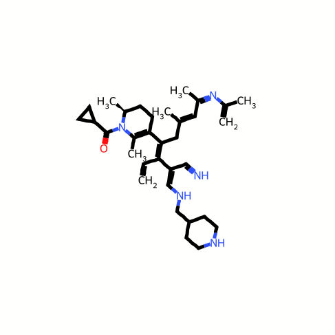 C=CC(/C(C=N)=C/NCC1CCNCC1)=C(/C/C(C)=C/C(C)=N\C(=C)C)C1=C(C)N(C(=O)C2CC2)[C@@H](C)CC1